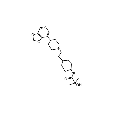 CC(C)(O)C(=O)NC1CCC(CCN2CCC(c3cccc4c3OCO4)CC2)CC1